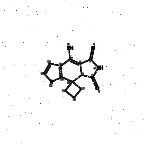 O=C1NC(=O)C2C1=C(S)c1ccsc1C21CCC1